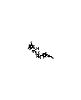 CCCOc1ccc(-c2nnc(SCC(=O)Nc3cc(C)cc(C)c3)n2C)cc1